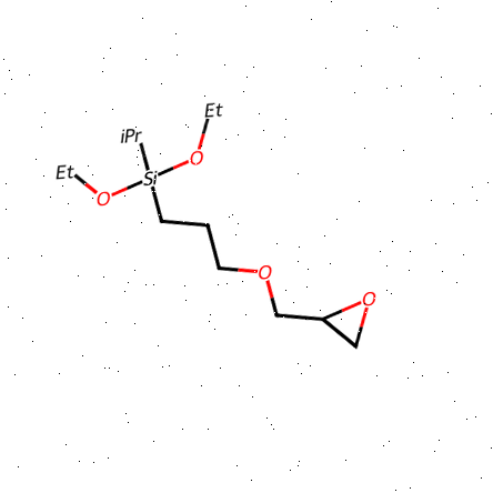 CCO[Si](CCCOCC1CO1)(OCC)C(C)C